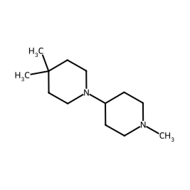 CN1CCC(N2CCC(C)(C)CC2)CC1